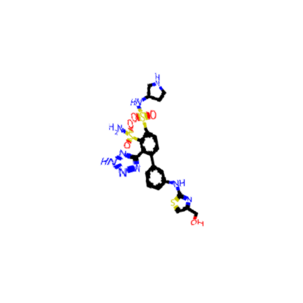 NS(=O)(=O)c1c(S(=O)(=O)NC2CCNC2)ccc(-c2cccc(Nc3nc(CO)cs3)c2)c1-c1nn[nH]n1